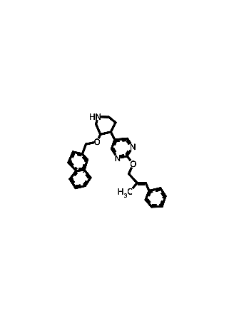 CC(=Cc1ccccc1)COc1ncc(C2CCNCC2OCc2ccc3ccccc3c2)cn1